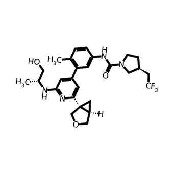 Cc1ccc(NC(=O)N2CC[C@@H](CC(F)(F)F)C2)cc1-c1cc(N[C@H](C)CO)nc([C@@]23COC[C@@H]2C3)c1